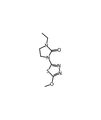 CCN1CCN(c2nnc(OC)s2)C1=O